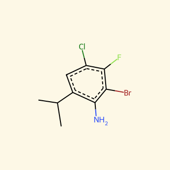 CC(C)c1cc(Cl)c(F)c(Br)c1N